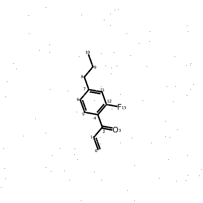 C=CC(=O)c1ccc(CCC)cc1F